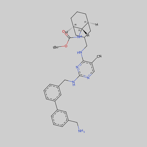 CC(C)(C)OC(=O)N[C@@H]1[C@@H]2CCC[C@H]1CC(CNc1nc(NCc3cccc(-c4cccc(CN)c4)c3)ncc1C#N)C2